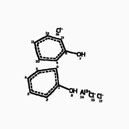 Oc1ccccc1.Oc1ccccc1.[Al+3].[Cl-].[Cl-].[Cl-]